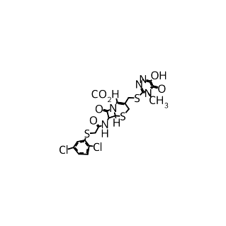 Cn1c(SCC2=C(C(=O)O)N3C(=O)C(NC(=O)CSc4cc(Cl)ccc4Cl)[C@H]3SC2)nnc(O)c1=O